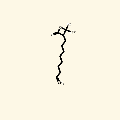 C=CCCCCCCCC1C(=O)OC1(CC)CCC